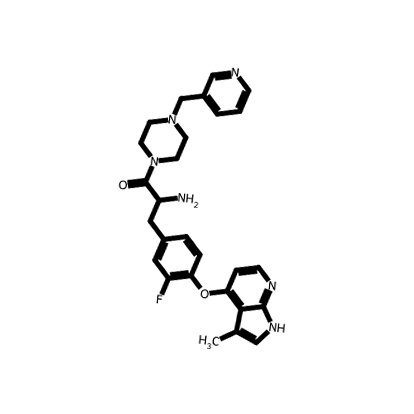 Cc1c[nH]c2nccc(Oc3ccc(CC(N)C(=O)N4CCN(Cc5cccnc5)CC4)cc3F)c12